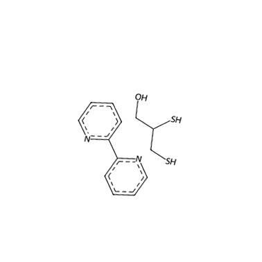 OCC(S)CS.c1ccc(-c2ccccn2)nc1